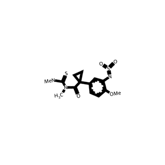 CNC(=S)N(C)C(=O)C1(c2ccc(OC)c(N=S(=O)=O)c2)CC1